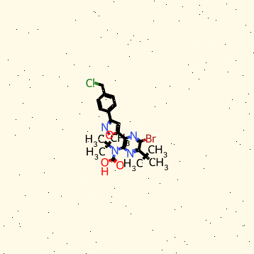 CC(C)(C)c1nc(N(C(=O)O)C(C)(C)C)c(-c2cc(-c3ccc(CCl)cc3)no2)nc1Br